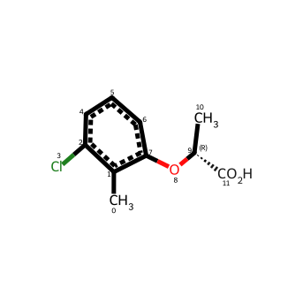 Cc1c(Cl)cccc1O[C@H](C)C(=O)O